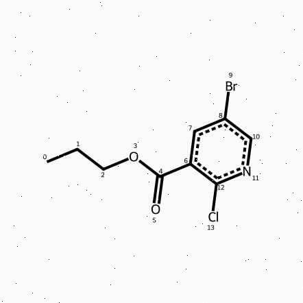 CCCOC(=O)c1cc(Br)cnc1Cl